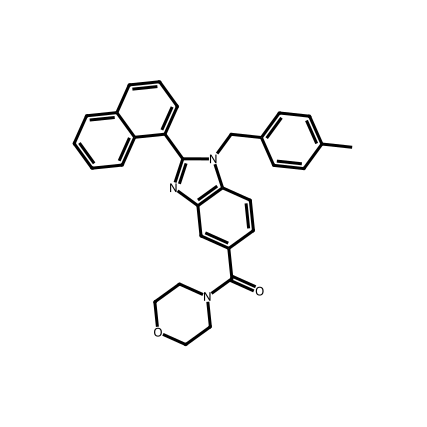 Cc1ccc(Cn2c(-c3cccc4ccccc34)nc3cc(C(=O)N4CCOCC4)ccc32)cc1